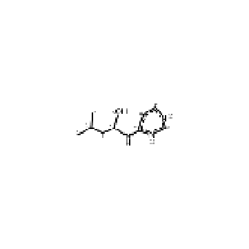 CC(C)CC(O)Nc1ccncn1